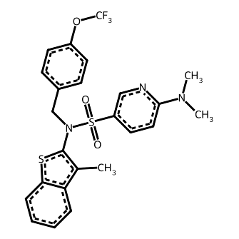 Cc1c(N(Cc2ccc(OC(F)(F)F)cc2)S(=O)(=O)c2ccc(N(C)C)nc2)sc2ccccc12